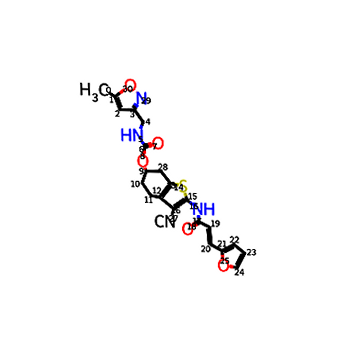 Cc1cc(CNC(=O)OC2CCc3c(sc(NC(=O)C=Cc4ccco4)c3C#N)C2)no1